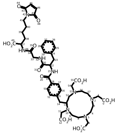 O=C(O)CN1CCN(CC(=O)O)CCN(CC(=O)O)C(Cc2ccc(C(=O)NC(Cc3ccccc3)C(=O)NCC(=O)NC(CCCCN3C(=O)C=CC3=O)C(=O)O)cc2)CN(CC(=O)O)CC1